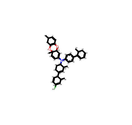 CC1C=CC2=C(C1)OC1(C)C=CC(N(c3ccc(C4=CC=CCC4C)cc3)C3CCC(C4C=CC(F)=CC4C)=CC3C)=CC1O2